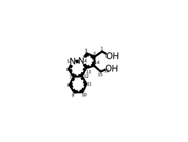 OCc1cn2ncc3ccccc3c2c1CO